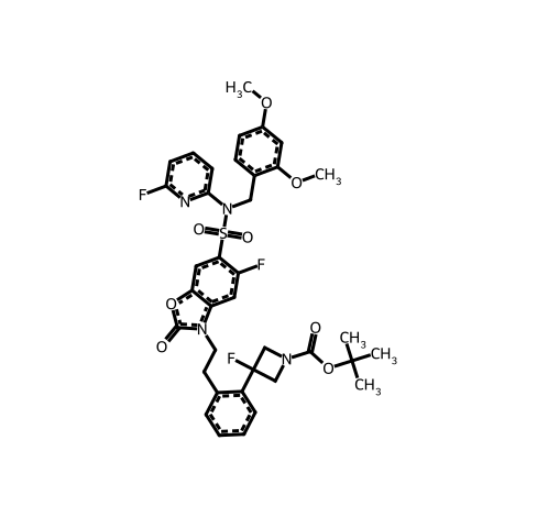 COc1ccc(CN(c2cccc(F)n2)S(=O)(=O)c2cc3oc(=O)n(CCc4ccccc4C4(F)CN(C(=O)OC(C)(C)C)C4)c3cc2F)c(OC)c1